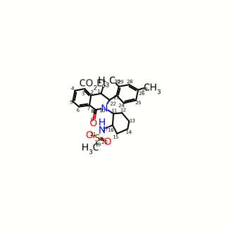 CCOC(=O)C1c2ccccc2C(=O)N(C2CCCCC2NS(C)(=O)=O)C1c1ccc(C)cc1C